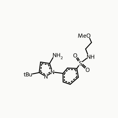 COCCNS(=O)(=O)c1cccc(-n2nc(C(C)(C)C)cc2N)c1